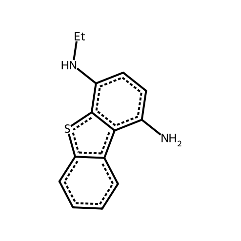 CCNc1ccc(N)c2c1sc1ccccc12